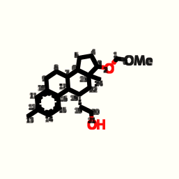 COCOC1CCC2C3CCc4cc(C)ccc4C3[C@@H](CCO)CC12C